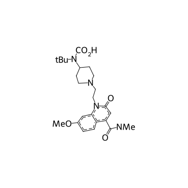 CNC(=O)c1cc(=O)n(CCN2CCC(N(C(=O)O)C(C)(C)C)CC2)c2cc(OC)ccc12